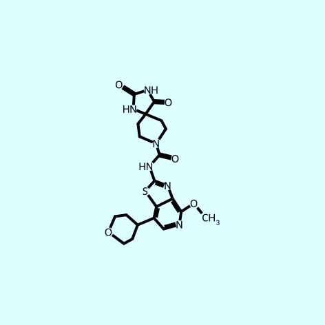 COc1ncc(C2CCOCC2)c2sc(NC(=O)N3CCC4(CC3)NC(=O)NC4=O)nc12